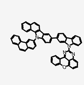 c1ccc2c(c1)Oc1cccc3nc(-n4c5ccccc5c5ccc(-c6ccc7c(c6)c6ccc8ccccc8c6n7-c6ccc7ccc8ccccc8c7c6)cc54)nc-2c13